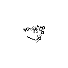 CC1(C)S[C@@H]2C(NC(=O)OCc3ccc([N+](=O)[O-])cc3)C(=O)N2[C@H]1C(=O)OC(c1ccccc1)c1ccccc1.CCCCCCCC[S+]([O-])C(C)Cc1ccc2c(c1)OCO2